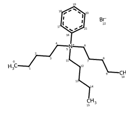 CCCCC[N+](CCCCC)(CCCCC)c1ccccc1.[Br-]